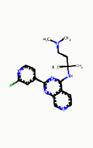 CN(C)CCC(C)(C)Nc1nc(-c2ccnc(F)c2)nc2cnccc12